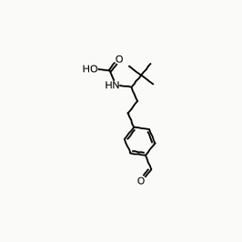 CC(C)(C)C(CCc1ccc(C=O)cc1)NC(=O)O